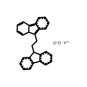 C1=CC2=c3ccccc3=C(CCC3c4ccccc4-c4ccccc43)C2C=C1.[Cl-].[Cl-].[V+2]